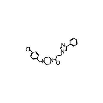 O=C(CCn1cnc(-c2ccccc2)c1)N1CCN(Cc2ccc(Cl)cc2)CC1